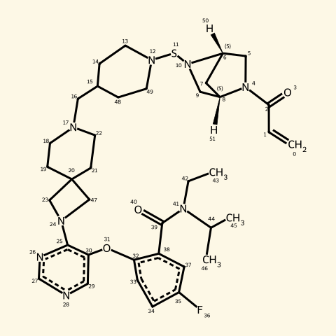 C=CC(=O)N1C[C@@H]2C[C@H]1CN2SN1CCC(CN2CCC3(CC2)CN(c2ncncc2Oc2ccc(F)cc2C(=O)N(CC)C(C)C)C3)CC1